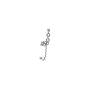 CCCCCCCCCCC(O)(O)Oc1ccc(-c2ccc(C#N)cc2)cc1